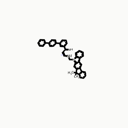 CC1(C)c2ccccc2-c2cc3c4ccccc4n(CN/C=C\C(=N)c4cccc(-c5ccc(-c6ccccc6)cc5)c4)c3cc21